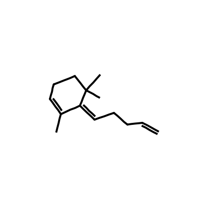 C=CCC/C=C1/C(C)=CCCC1(C)C